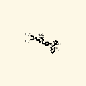 CCCN(CCC)CCCCN(CC(=O)OC)Cc1ccc(CN(CC2=NCCN2C)Cc2ncc[nH]2)cc1